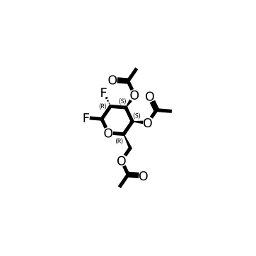 CC(=O)OC[C@H]1OC(F)[C@H](F)[C@@H](OC(C)=O)[C@H]1OC(C)=O